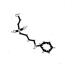 O=S(=O)(CCCl)CCCC[N]c1ccccc1